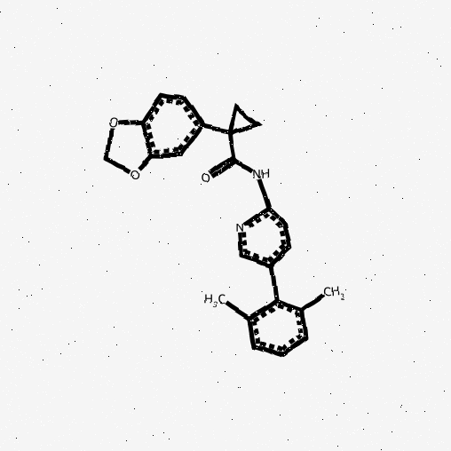 Cc1cccc(C)c1-c1ccc(NC(=O)C2(c3ccc4c(c3)OCO4)CC2)nc1